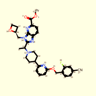 CC(C)OC(=O)c1ccc2nc(C(C)N3CCC(c4cccc(OCc5ccc(C#N)cc5F)n4)CC3)n(C[C@@H]3CCO3)c2n1